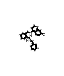 Clc1ccc2c(NCc3ccccc3CNCc3ccccc3)ccnc2c1